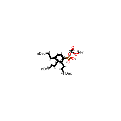 CCCCCCCCCCCCc1ccc(S(=O)(=O)[O][Zr](=[O])[O]C(C)C)c(CCCCCCCCCCCC)c1CCCCCCCCCCCC